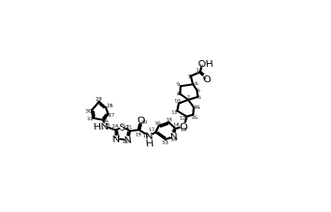 O=C(O)CC1CCC2(CC1)CCC(Oc1ccc(NC(=O)c3nnc(Nc4ccccc4)s3)cn1)CC2